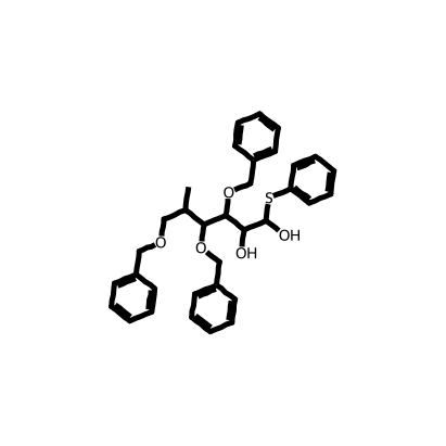 CC(COCc1ccccc1)C(OCc1ccccc1)C(OCc1ccccc1)C(O)C(O)Sc1ccccc1